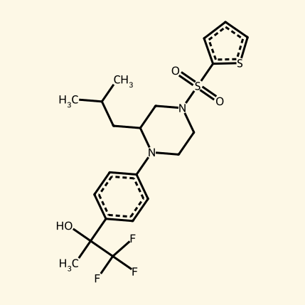 CC(C)CC1CN(S(=O)(=O)c2cccs2)CCN1c1ccc(C(C)(O)C(F)(F)F)cc1